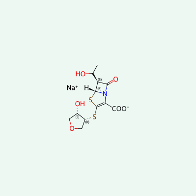 CC(O)[C@H]1C(=O)N2C(C(=O)[O-])=C(S[C@@H]3COC[C@@H]3O)S[C@H]12.[Na+]